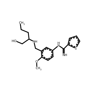 CCCC(CO)NCc1cc(NC(=N)c2cccs2)ccc1OC